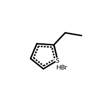 Br.CCc1cccs1